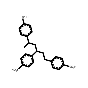 CC(CC(CCc1ccc(S(=O)(=O)O)cc1)c1ccc(S(=O)(=O)O)cc1)c1ccc(S(=O)(=O)O)cc1